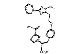 Cc1oc(-c2ccccc2)nc1CCOc1ccc(C[C@@H](C(=O)O)n2ccc(C(=O)C(C)C)c2)cc1